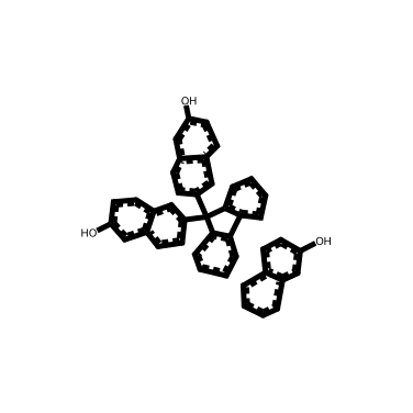 Oc1ccc2cc(C3(c4ccc5cc(O)ccc5c4)c4ccccc4-c4ccccc43)ccc2c1.Oc1ccc2ccccc2c1